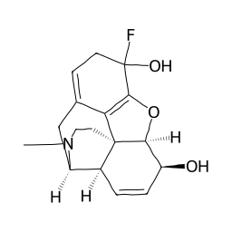 CN1CC[C@]23C4=C5O[C@H]2[C@@H](O)C=C[C@H]3[C@H]1CC4=CCC5(O)F